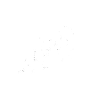 CC(O[Si](c1ccccc1)(c1ccccc1)C(C)(C)C)c1nc(C(C)(C)C)c(S(N)(=O)=O)s1